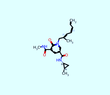 C=C/C=C\C=C(/C)Cn1cc(C(=O)N[C@@H]2C[C@H]2C)cc(C(=O)NC)c1=O